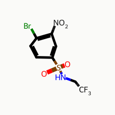 O=[N+]([O-])c1cc(S(=O)(=O)NCC(F)(F)F)ccc1Br